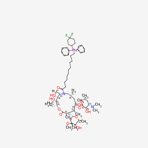 CC[C@H]1OC(=O)[C@H](C)[C@@H](C2C[C@@](C)(OC)[C@@H](O)[C@H](C)O2)[C@H](C)[C@@H](O[C@@H]2O[C@H](C)C[C@H](N(C)C)[C@H]2O)[C@](C)(O)C[C@@H](C)CN(C(=O)CCCCCCCCCCC[PH](c2ccccc2)(c2ccccc2)C2CCC(F)(F)CC2)[C@H](C)[C@@H](O)[C@]1(C)O